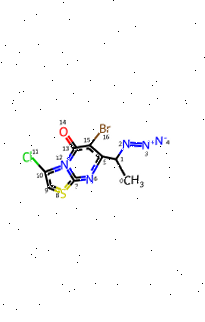 CC(N=[N+]=[N-])c1nc2scc(Cl)n2c(=O)c1Br